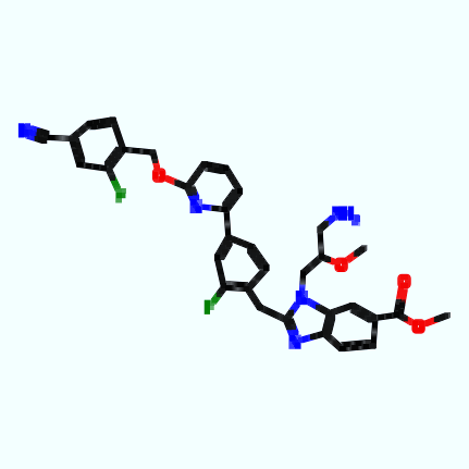 COC(=O)c1ccc2nc(Cc3ccc(-c4cccc(OCc5ccc(C#N)cc5F)n4)cc3F)n(CC(CN)OC)c2c1